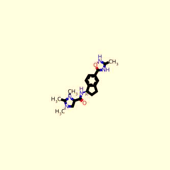 CC1NOC(c2ccc3c(c2)CC[C@H]3NC(=O)C2CN(C)C(C)N2C)N1